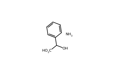 N.O=C(O)C(O)c1ccccc1